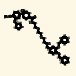 COc1ccc(C2(C#N)CCC(C(=O)NCCOCCOCCNCc3ccc(OCc4ccccc4)c(OCc4ccccc4)c3)CC2)cc1OC1CCCC1